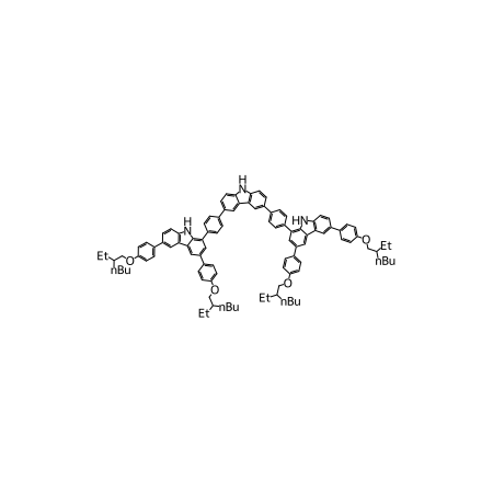 CCCCC(CC)COc1ccc(-c2ccc3[nH]c4c(-c5ccc(-c6ccc7[nH]c8ccc(-c9ccc(-c%10cc(-c%11ccc(OCC(CC)CCCC)cc%11)cc%11c%10[nH]c%10ccc(-c%12ccc(OCC(CC)CCCC)cc%12)cc%10%11)cc9)cc8c7c6)cc5)cc(-c5ccc(OCC(CC)CCCC)cc5)cc4c3c2)cc1